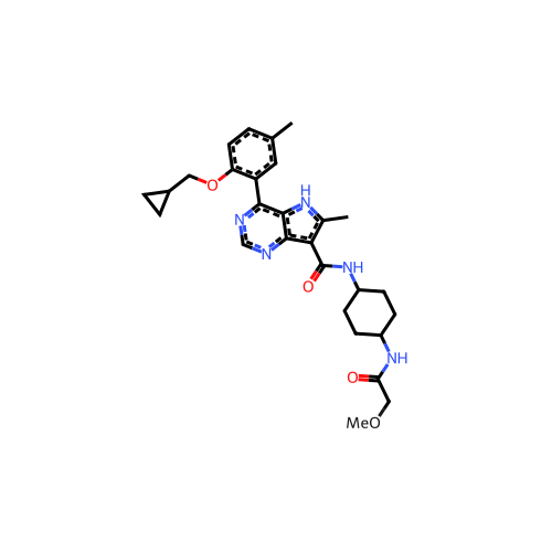 COCC(=O)NC1CCC(NC(=O)c2c(C)[nH]c3c(-c4cc(C)ccc4OCC4CC4)ncnc23)CC1